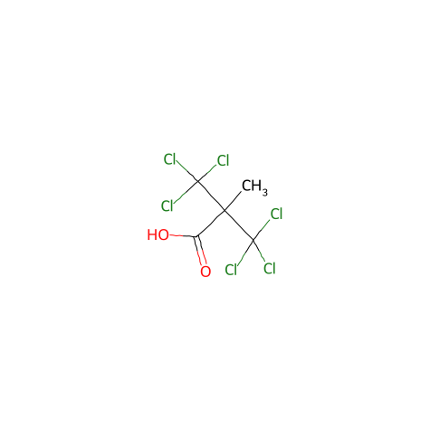 CC(C(=O)O)(C(Cl)(Cl)Cl)C(Cl)(Cl)Cl